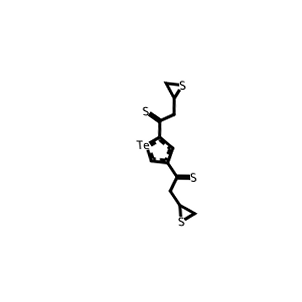 S=C(CC1CS1)c1c[te]c(C(=S)CC2CS2)c1